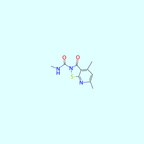 CNC(=O)n1sc2nc(C)cc(C)c2c1=O